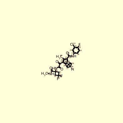 CNC(=O)C1(NC(=O)C(=O)c2c(C)c(C(=O)Nc3ccc(F)c(Cl)c3)n3c2C2[C@@H]4C3[C@@H]24)CC(F)(F)C1